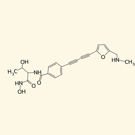 CNCc1ccc(C#CC#Cc2ccc(C(=O)NC(C(=O)NO)C(C)O)cc2)o1